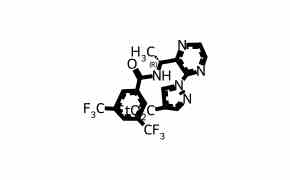 CCOC(=O)c1cnn(-c2nccnc2[C@@H](C)NC(=O)c2cc(C(F)(F)F)cc(C(F)(F)F)c2)c1